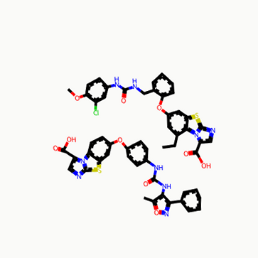 CCc1cc(Oc2ccccc2CNC(=O)Nc2ccc(OC)c(Cl)c2)cc2sc3ncc(C(=O)O)n3c12.Cc1onc(-c2ccccc2)c1NC(=O)Nc1ccc(Oc2ccc3c(c2)sc2ncc(C(=O)O)n23)cc1